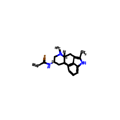 CCCN1C[C@@H](NC(=S)SC)CC2c3cccc4[nH]c(C)c(c34)C[C@H]21